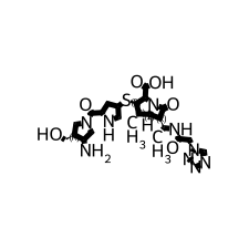 CC(NC(=O)Cn1cnnn1)[C@H]1C(=O)N2C(C(=O)O)[C@H](SC3CNC(C(=O)N4CC(N)[C@H](CO)C4)C3)[C@@H](C)[C@H]12